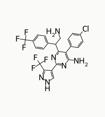 NCC(c1ccc(C(F)(F)F)cc1)c1nc(-c2c[nH]nc2C(F)(F)F)nc(N)c1-c1ccc(Cl)cc1